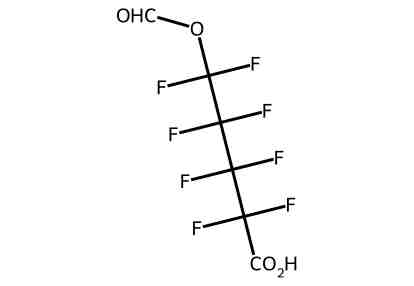 O=COC(F)(F)C(F)(F)C(F)(F)C(F)(F)C(=O)O